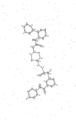 Cc1ccc(NC(=O)c2cccc(N(C)C(=O)CCN3CCC(OC(=O)Nc4ccccc4-c4ccccc4)CC3)c2)cc1